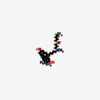 C=C1[C@H](O)C[C@H]2[C@@H]3[C@H](CCCCCN(C)CCC[S+]([O-])CCCC(F)(F)C(F)(F)F)Cc4cc(O)ccc4[C@H]3CC[C@]12C